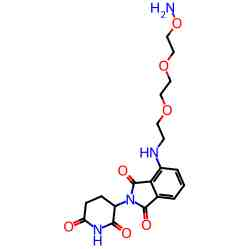 NOCCOCCOCCNc1cccc2c1C(=O)N(C1CCC(=O)NC1=O)C2=O